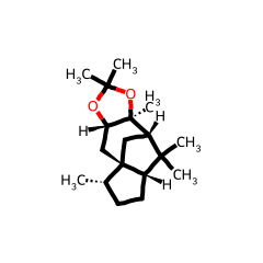 C[C@H]1CC[C@H]2C(C)(C)[C@@H]3C[C@@]12C[C@@H]1OC(C)(C)O[C@]13C